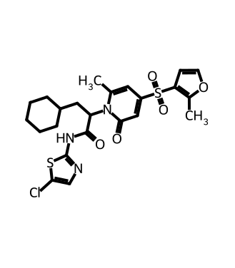 Cc1occc1S(=O)(=O)c1cc(C)n(C(CC2CCCCC2)C(=O)Nc2ncc(Cl)s2)c(=O)c1